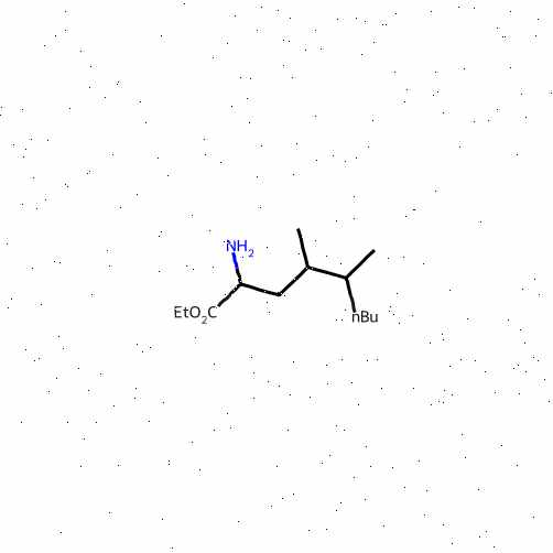 CCCCC(C)C(C)CC(N)C(=O)OCC